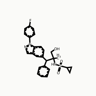 CC(CO)(NS(=O)(=O)C1CC1)C(c1ccccc1)c1ccc2c(cnn2-c2ccc(F)cc2)c1